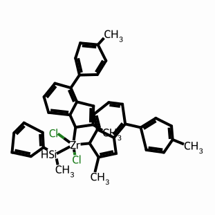 CC1=Cc2c(-c3ccc(C)cc3)cccc2[CH]1[Zr]([Cl])([Cl])([CH]1C(C)=Cc2c(-c3ccc(C)cc3)cccc21)[SiH](C)c1ccccc1